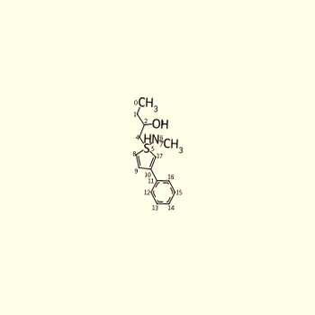 CCC(O)CS1(NC)C=CC(c2ccccc2)=C1